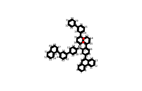 C1=C(c2cc3ccccc3c3ccccc23)CC(N(c2ccc(-c3cccc(-c4ccccc4)c3)cc2)c2ccc(-c3cccc(-c4cccc5ccccc45)c3)cc2)C(c2ccccc2)=C1